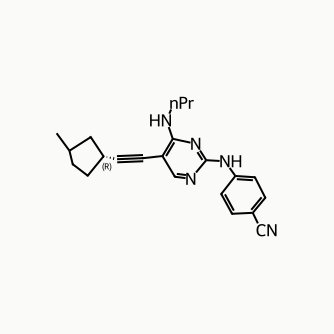 CCCNc1nc(Nc2ccc(C#N)cc2)ncc1C#C[C@@H]1CCC(C)C1